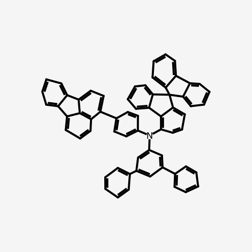 c1ccc(-c2cc(-c3ccccc3)cc(N(c3ccc(-c4ccc5c6c(cccc46)-c4ccccc4-5)cc3)c3cccc4c3-c3ccccc3C43c4ccccc4-c4ccccc43)c2)cc1